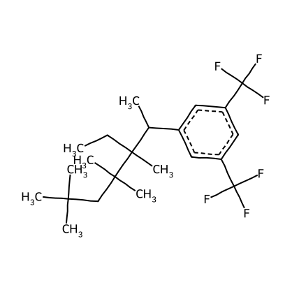 CCC(C)(C(C)c1cc(C(F)(F)F)cc(C(F)(F)F)c1)C(C)(C)CC(C)(C)C